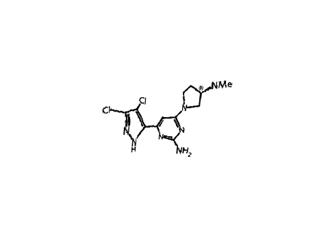 CN[C@@H]1CCN(c2cc(-c3[nH]nc(Cl)c3Cl)nc(N)n2)C1